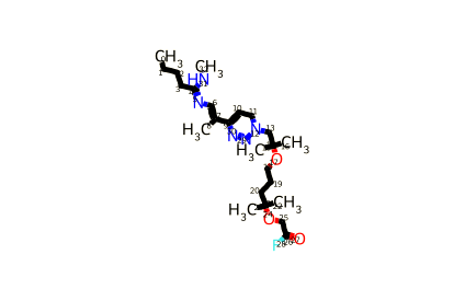 CCCC/C(=N/C=C(\C)C1=CCN(CC(C)(C)OCCCC(C)(C)OCC(=O)F)N=N1)NC